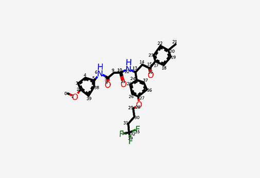 COc1ccc(NC(=O)CC(=O)NC(CC(=O)c2ccc(C)cc2)c2ccc(OCCCC(F)(F)F)cc2)cc1